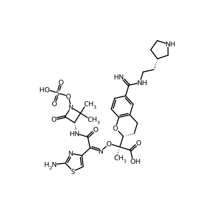 CC1(C)[C@H](NC(=O)/C(=N\O[C@](C)(C(=O)O)[C@H]2CCc3cc(C(=N)NCC[C@@H]4CCNC4)ccc3O2)c2csc(N)n2)C(=O)N1OS(=O)(=O)O